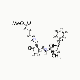 COC(=O)CCC/C=C/CN1C(=O)CC[C@@H]1/C=C/[C@@H](O)[C@@H](C)CC#Cc1ccccc1